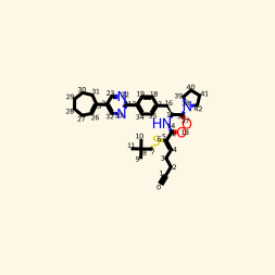 C#CCC/C=C(\SCC(C)(C)C)C(=O)N[C@@H](Cc1ccc(-c2ncc(C3=CCCCCC3)cn2)cc1)C(=O)N1CCCC1